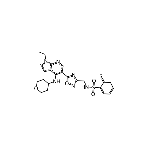 CCn1ncc2c(NC3CCOCC3)c(-c3nc(CNS(=O)(=O)C4=CC=CCC4=S)no3)cnc21